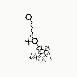 CC(C)(C)OC(=O)N1C(C)(C)OCC1(C)c1nnc(-c2ccc(OCCCCCc3ccccc3)c(C(F)(F)F)c2)s1